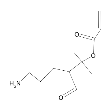 C=CC(=O)OC(C)(C)C(C=O)CCCN